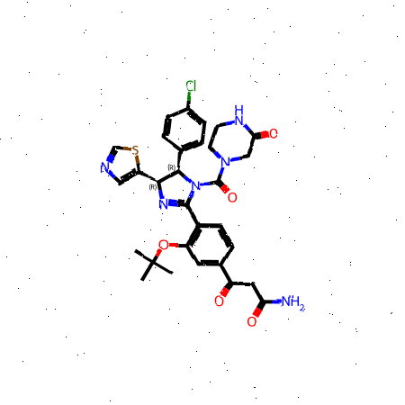 CC(C)(C)Oc1cc(C(=O)CC(N)=O)ccc1C1=N[C@@H](c2cncs2)[C@@H](c2ccc(Cl)cc2)N1C(=O)N1CCNC(=O)C1